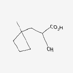 CC1(CC(O)C(=O)O)CCC1